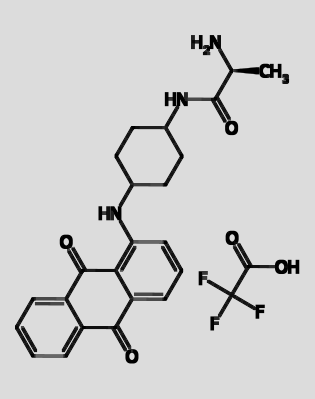 C[C@H](N)C(=O)NC1CCC(Nc2cccc3c2C(=O)c2ccccc2C3=O)CC1.O=C(O)C(F)(F)F